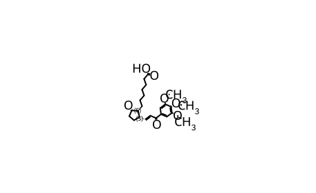 COc1cc(C(=O)C=C[C@@H]2CCC(=O)[C@H]2CCCCCCC(=O)O)cc(OC)c1OC